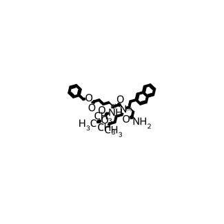 CCCCCN(C(=O)[C@H](CCCC(=O)OCc1ccccc1)NC(=O)OC(C)(C)C)[C@H](CC(N)=O)Cc1ccc2ccccc2c1